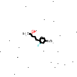 C=C(O)CCCc1ccc([N+](=O)[O-])cc1F